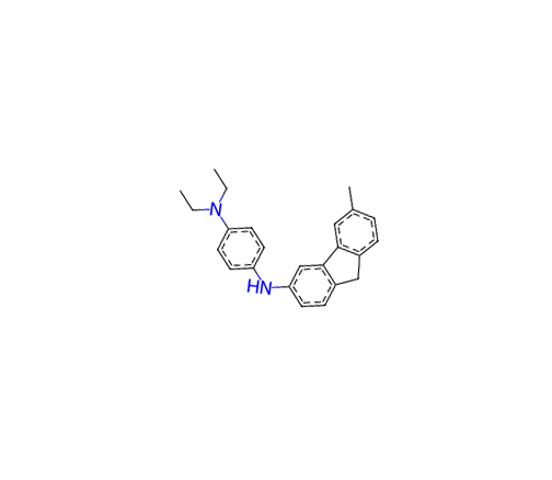 CCN(CC)c1ccc(Nc2ccc3c(c2)-c2cc(C)ccc2C3)cc1